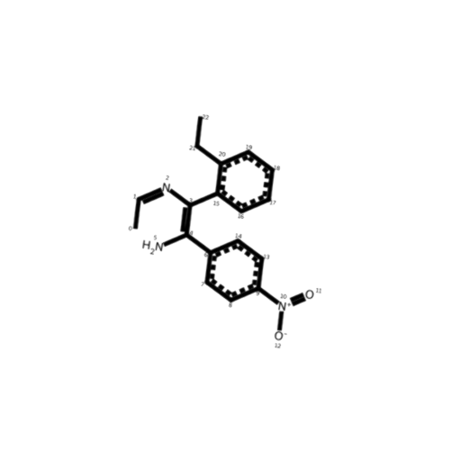 C/C=N\C(=C(/N)c1ccc([N+](=O)[O-])cc1)c1ccccc1CC